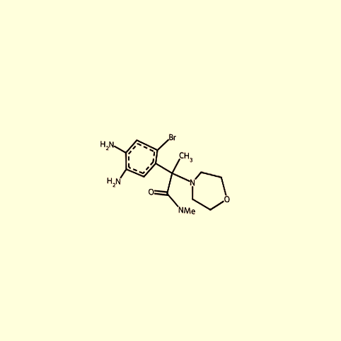 CNC(=O)C(C)(c1cc(N)c(N)cc1Br)N1CCOCC1